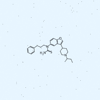 CCC(C)N1CCC(c2coc3ccc(N(CCCc4ccccc4)C(N)=S)cc23)CC1